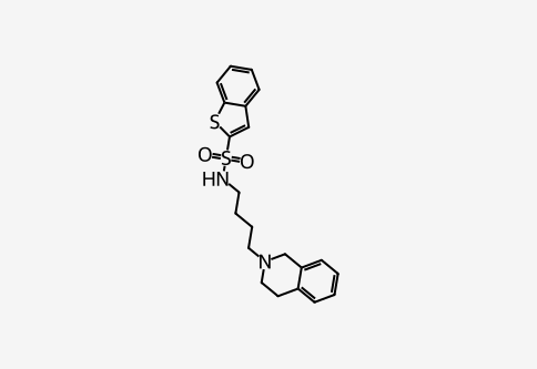 O=S(=O)(NCCCCN1CCc2ccccc2C1)c1cc2ccccc2s1